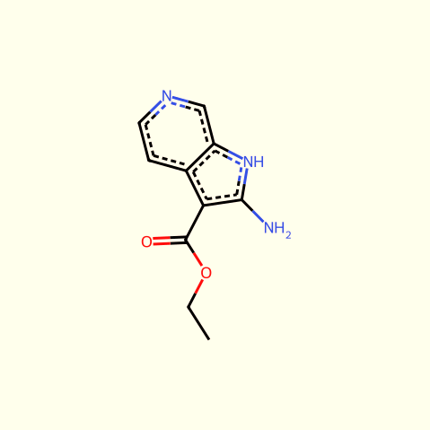 CCOC(=O)c1c(N)[nH]c2cnccc12